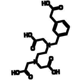 O=C(O)Cc1cccc(CN(CCN(CC(=O)O)CC(=O)O)CC(=O)O)c1